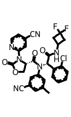 Cc1cc(C#N)cc(N(C(=O)[C@@H]2COC(=O)N2c2cc(C#N)ccn2)[C@H](C(=O)NC2CC(F)(F)C2)c2ccccc2Cl)c1